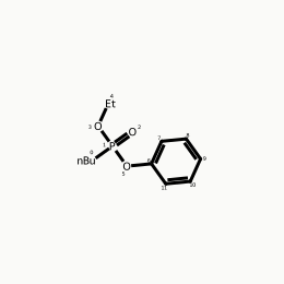 CCCCP(=O)(OCC)Oc1ccccc1